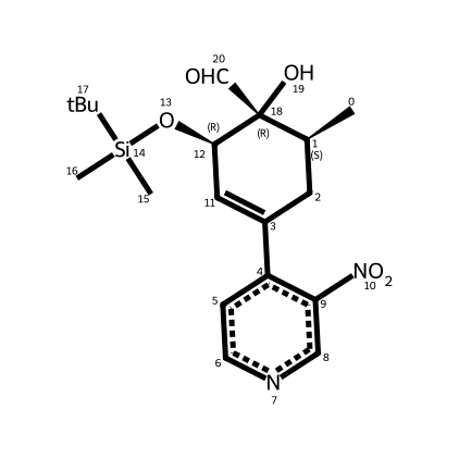 C[C@H]1CC(c2ccncc2[N+](=O)[O-])=C[C@@H](O[Si](C)(C)C(C)(C)C)[C@@]1(O)C=O